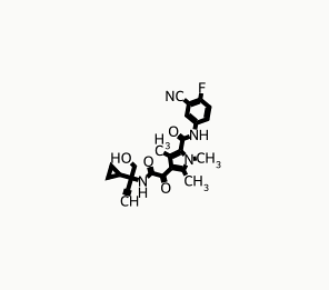 C#CC(CO)(NC(=O)C(=O)c1c(C)c(C(=O)Nc2ccc(F)c(C#N)c2)n(C)c1C)C1CC1